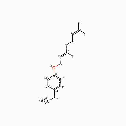 CC(C)=CCC/C(C)=C/COc1ccc(CC(=O)O)cc1